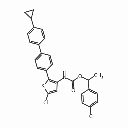 CC(OC(=O)Nc1cc(Cl)sc1-c1ccc(-c2ccc(C3CC3)cc2)cc1)c1ccc(Cl)cc1